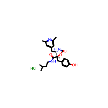 Cc1cc(CC[C@@](Cc2ccc(O)cc2)(OC(N)=O)C(=O)NCCC(C)C)cc(C)n1.Cl